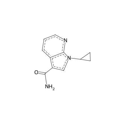 NC(=O)c1cn(C2CC2)c2ncccc12